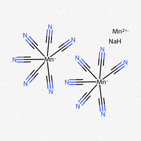 N#[C][Mn-]([C]#N)([C]#N)([C]#N)([C]#N)[C]#N.N#[C][Mn-]([C]#N)([C]#N)([C]#N)([C]#N)[C]#N.[Mn+2].[NaH]